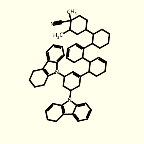 CC1CC(C2CCCCC2C2=CC=CCC2C2C=CCCC2C2=CC(n3c4c(c5ccccc53)CCCC4)CC(n3c4c(c5ccccc53)CCC=C4)C2)CCC1(C)C#N